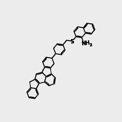 Nc1c(SCC2=CCC(C3C=CC4=C(C3)c3cccc5c6c(cc4c35)Cc3ccccc3-6)C=C2)ccc2ccccc12